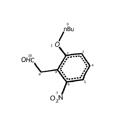 CCCCOc1cccc([N+](=O)[O-])c1CC=O